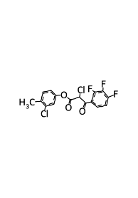 Cc1ccc(OC(=O)C(Cl)C(=O)c2ccc(F)c(F)c2F)cc1Cl